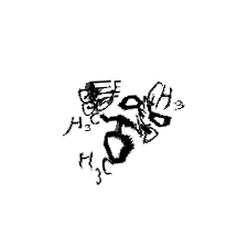 CCCCN(C(=O)[c+]1c2ccccc2n(C)c2ccccc21)c1ccc(C)cc1.O=S(=O)([O-])C(F)(F)F